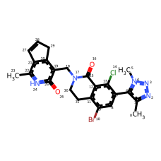 Cc1nnn(C)c1-c1cc(Br)c2c(c1Cl)C(=O)N(Cc1c3c(c(C)[nH]c1=O)C=CC3)CC2